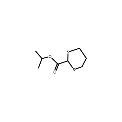 CC(C)OC(=O)C1SCCCS1